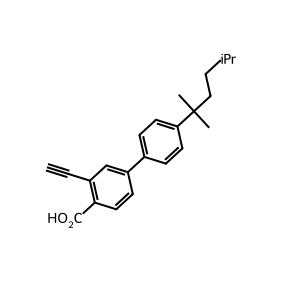 C#Cc1cc(-c2ccc(C(C)(C)CCC(C)C)cc2)ccc1C(=O)O